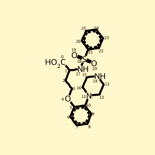 O=C(O)C(CCOc1ccccc1N1CCNCC1)NS(=O)(=O)c1ccccc1